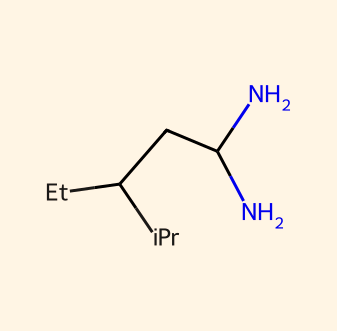 CCC(CC(N)N)C(C)C